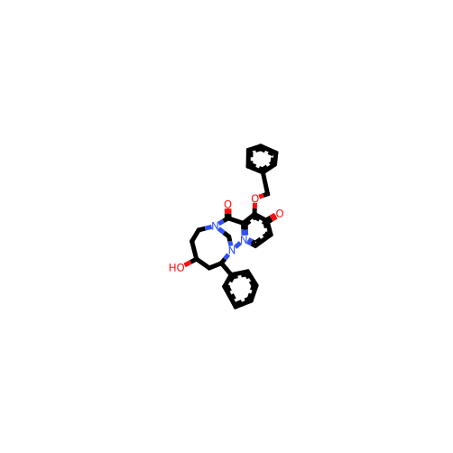 O=C1c2c(OCc3ccccc3)c(=O)ccn2N2CN1CCC(O)CC2c1ccccc1